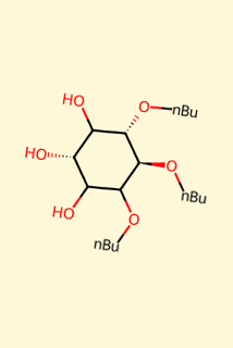 CCCCOC1C(O)[C@H](O)C(O)[C@H](OCCCC)[C@H]1OCCCC